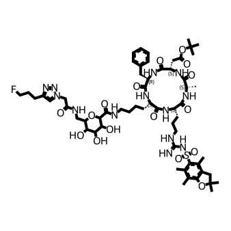 Cc1c(C)c(S(=O)(=O)NC(=N)NCCC[C@@H]2NC(=O)[C@H](CCCCNC(=O)C3OC(CNC(=O)Cn4cc(CCCF)nn4)C(O)C(O)C3O)NC(=O)[C@@H](Cc3ccccc3)NC(=O)[C@H](CC(=O)OC(C)(C)C)NC(=O)[C@H](C)NC2=O)c(C)c2c1OC(C)(C)C2